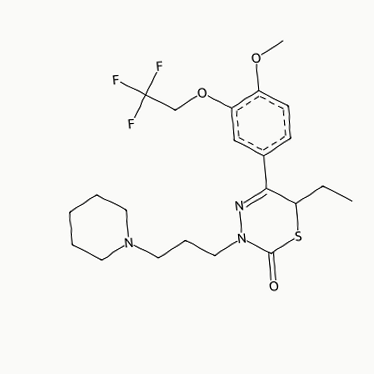 CCC1SC(=O)N(CCCN2CCCCC2)N=C1c1ccc(OC)c(OCC(F)(F)F)c1